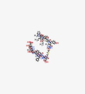 CCCC(=O)OCN(C(=O)[C@@H](NC(=O)[C@H]1CCCCN1C)C(C)CC)[C@H](C[C@@H](O)c1nc(C(=O)N[C@@H](Cc2ccc(O)cc2)C[C@H](C)C(=O)NNC(=O)OCCSSCCNC(=O)[C@H](CC(=O)O)NC(=O)[C@@H](N)CNC(=O)[C@H](Cc2ccccc2)NC(=O)[C@H](Cc2ccccc2)NC(=O)CCNC(=O)CC[C@](C)(NC(=O)N[C@@H](CCC(=O)O)C(=O)O)C(=O)O)cs1)C(C)C